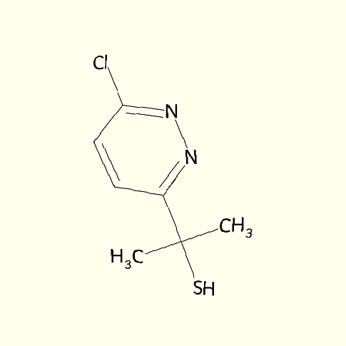 CC(C)(S)c1ccc(Cl)nn1